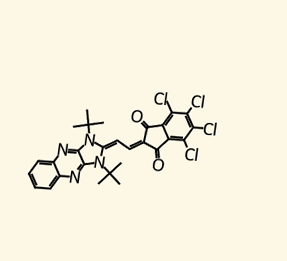 CC(C)(C)N1C(=CC=C2C(=O)c3c(Cl)c(Cl)c(Cl)c(Cl)c3C2=O)N(C(C)(C)C)c2nc3ccccc3nc21